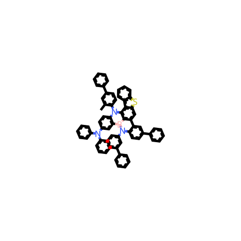 Cc1cc(-c2ccccc2)ccc1N1c2ccc(N(c3ccccc3)c3ccccc3)cc2B2c3c(cc4sc5ccccc5c4c31)-c1cc(-c3ccccc3)ccc1N2c1cccc(-c2ccccc2)c1